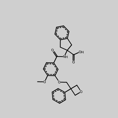 COc1ccc(C(=O)NC2(C(=O)O)Cc3ccccc3C2)cc1OCC1(c2ccccc2)COC1